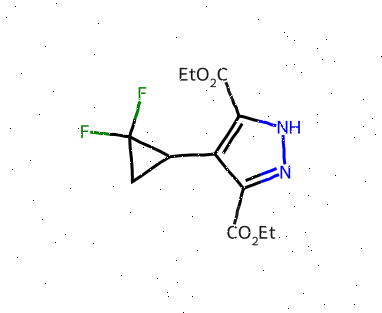 CCOC(=O)c1n[nH]c(C(=O)OCC)c1C1CC1(F)F